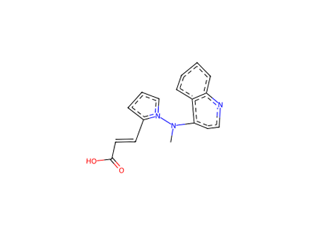 CN(c1ccnc2ccccc12)n1cccc1C=CC(=O)O